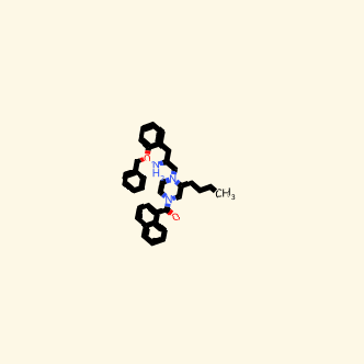 CCCCC1CN(C(=O)c2cccc3ccccc23)CCN1CC(N)Cc1ccccc1OCc1ccccc1